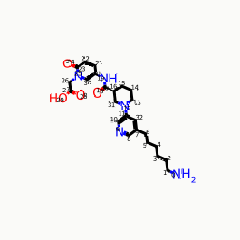 NCCCCCCc1cncc(N2CCC[C@H](C(=O)Nc3ccc(=O)n(CC(=O)O)c3)C2)c1